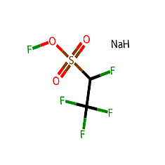 O=S(=O)(OF)C(F)C(F)(F)F.[NaH]